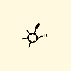 C#Cc1c([SiH3])cc(C)c(C)c1C